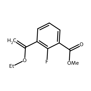 C=C(OCC)c1cccc(C(=O)OC)c1F